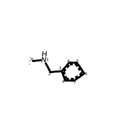 [C]NCc1ccccc1